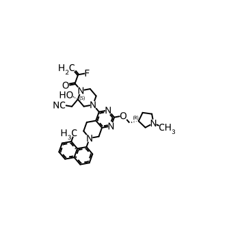 C=C(F)C(=O)N1CCN(c2nc(OC[C@@H]3CCN(C)C3)nc3c2CCN(c2cccc4cccc(C)c24)C3)C[C@@]1(O)CC#N